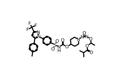 Cc1ccc(-c2cc(C(F)(F)F)nn2-c2ccc(S(=O)(=O)NC(=O)OC3CCN(n4on4OC(C)OC(=O)C(C)C)CC3)cc2)cc1